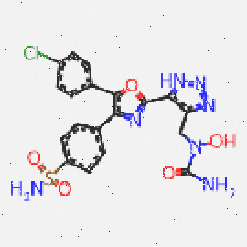 NC(=O)N(O)Cc1nn[nH]c1-c1nc(-c2ccc(S(N)(=O)=O)cc2)c(-c2ccc(Cl)cc2)o1